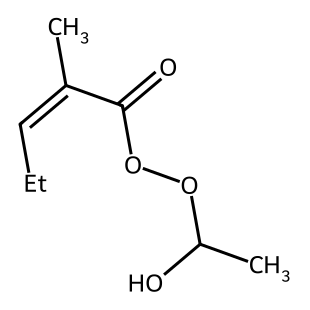 CCC=C(C)C(=O)OOC(C)O